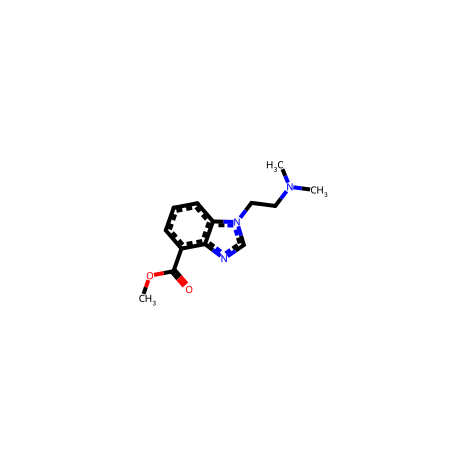 COC(=O)c1cccc2c1ncn2CCN(C)C